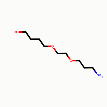 NCCCOCCOCCCCO